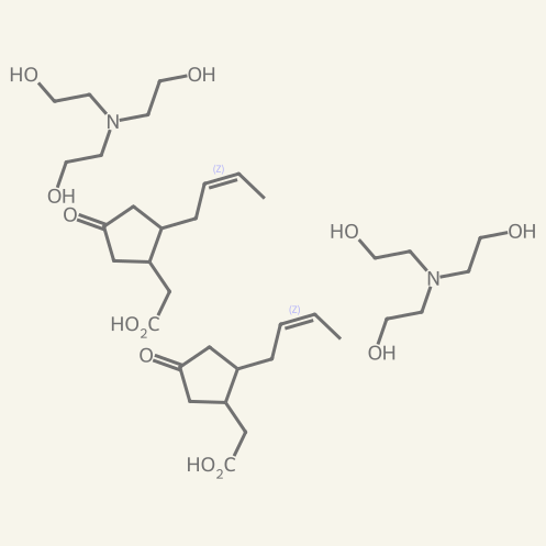 C/C=C\CC1CC(=O)CC1CC(=O)O.C/C=C\CC1CC(=O)CC1CC(=O)O.OCCN(CCO)CCO.OCCN(CCO)CCO